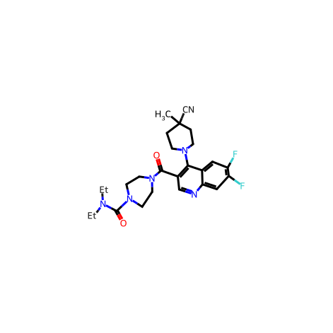 CCN(CC)C(=O)N1CCN(C(=O)c2cnc3cc(F)c(F)cc3c2N2CCC(C)(C#N)CC2)CC1